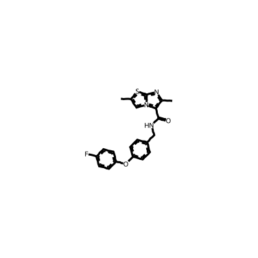 Cc1cn2c(C(=O)NCc3ccc(Oc4ccc(F)cc4)cc3)c(C)nc2s1